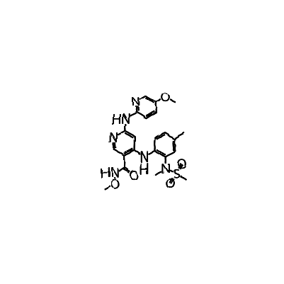 CONC(=O)c1cnc(Nc2ccc(OC)cn2)cc1Nc1ccc(C)cc1N(C)S(C)(=O)=O